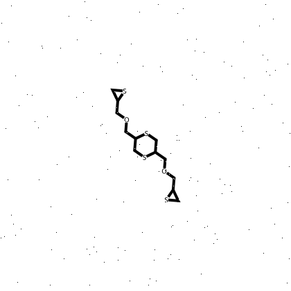 C(OCC1CSC(COCC2CS2)CS1)C1CS1